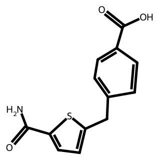 NC(=O)c1ccc(Cc2ccc(C(=O)O)cc2)s1